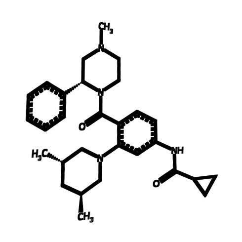 C[C@H]1C[C@H](C)CN(c2cc(NC(=O)C3CC3)ccc2C(=O)N2CCN(C)C[C@H]2c2ccccc2)C1